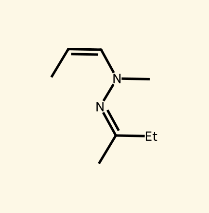 C/C=C\N(C)/N=C(/C)CC